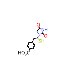 O=C1CN(C(S)Cc2ccc(C(=O)O)cc2)C(=O)N1